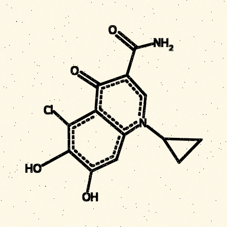 NC(=O)c1cn(C2CC2)c2cc(O)c(O)c(Cl)c2c1=O